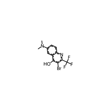 CN(C)c1ccc2nc(C(F)(F)F)c(Br)c(O)c2c1